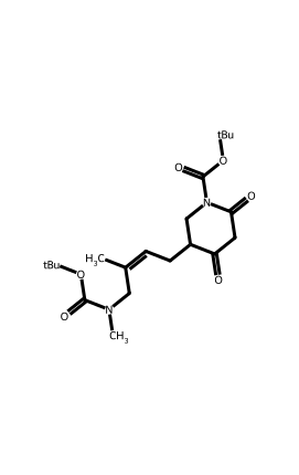 CC(=CCC1CN(C(=O)OC(C)(C)C)C(=O)CC1=O)CN(C)C(=O)OC(C)(C)C